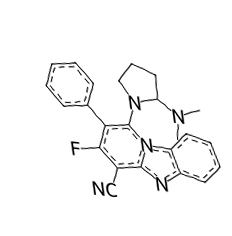 CN(C)C1CCCN1c1c(-c2ccccc2)c(F)c(C#N)c2nc3ccccc3n12